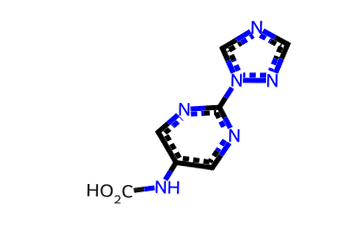 O=C(O)Nc1cnc(-n2cncn2)nc1